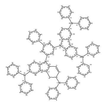 C1=CC(N(c2ccccc2)c2ccccc2)Cc2c1n(-c1cc(-n3c4ccc(N(c5ccccc5)c5ccccc5)cc4c4cc(N(c5ccccc5)c5ccccc5)ccc43)nc(-c3ccccc3)n1)c1ccc(N(c3ccccc3)c3ccccc3)cc21